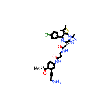 COC(=O)c1ccc(NC(=O)CCNC(=O)C[C@@H]2N=C(c3ccc(Cl)cc3)c3c(sc(C)c3C)-n3c(C)nnc32)cc1C#CCN